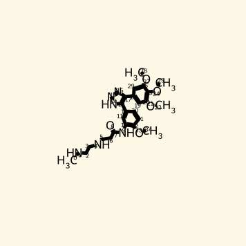 CNCCNCCC(=O)Nc1cc(-c2[nH]nnc2-c2cc(OC)c(OC)c(OC)c2)ccc1OC